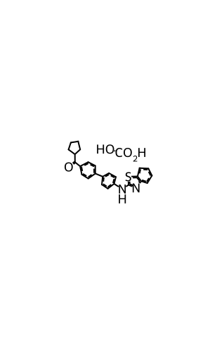 O=C(O)O.O=C(c1ccc(-c2ccc(Nc3nc4ccccc4s3)cc2)cc1)C1CCCC1